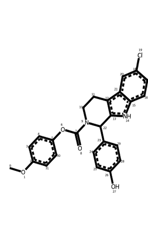 COc1ccc(OC(=O)N2CCc3c([nH]c4ccc(Cl)cc34)C2c2ccc(O)cc2)cc1